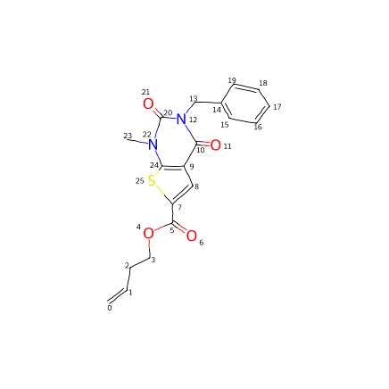 C=CCCOC(=O)c1cc2c(=O)n(Cc3ccccc3)c(=O)n(C)c2s1